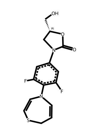 O=C1O[C@@H](CO)CN1c1cc(F)c(N2C=CCSC=C2)c(F)c1